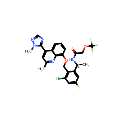 Cc1cc(-c2ncnn2C)c2cccc(OCc3c(Cl)cc(F)cc3[C@H](C)NC(=O)COC(F)(F)F)c2n1